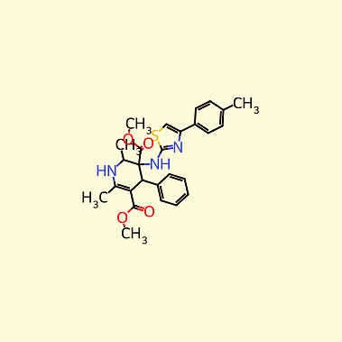 COC(=O)C1=C(C)NC(C)C(Nc2nc(-c3ccc(C)cc3)cs2)(C(=O)OC)C1c1ccccc1